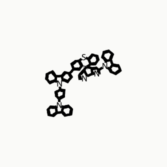 c1ccc2c(c1)Sc1ccc(-c3ccc4c(c3)c3ccccc3n4-c3ccc(-n4c5ccccc5c5ccccc54)cc3)cc1[C@]21c2cccnc2-c2ncc(-n3c4ccccc4c4ccccc43)cc21